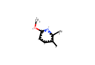 Cc1ccc(OC(F)(F)F)nc1C(C)C